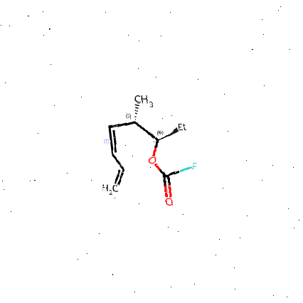 C=C/C=C\[C@H](C)[C@@H](CC)OC(=O)F